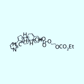 CCOC(=O)OCCOC(=O)O[C@H]1CC[C@@]2(C)C(=CC[C@@H]3[C@@H]2CC[C@]2(C)C(c4cccnc4)=CC[C@@H]32)C1